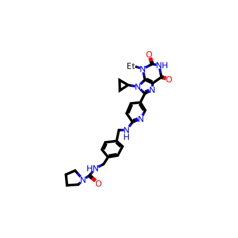 CCn1c(=O)[nH]c(=O)c2nc(-c3ccc(NCc4ccc(CNC(=O)N5CCCC5)cc4)nc3)n(C3CC3)c21